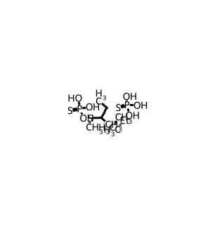 CC.CCC.CCC(C)SC.OP(O)(O)=S.OP(O)(O)=S